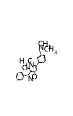 CN(C)Cc1cccc(-c2cc3onc(-c4ccccc4)c3c(=O)n2C)c1